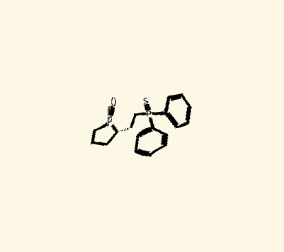 O=[PH]1CCC[C@H]1CCP(=S)(c1ccccc1)c1ccccc1